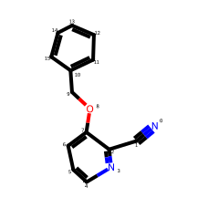 N#Cc1n[c]ccc1OCc1ccccc1